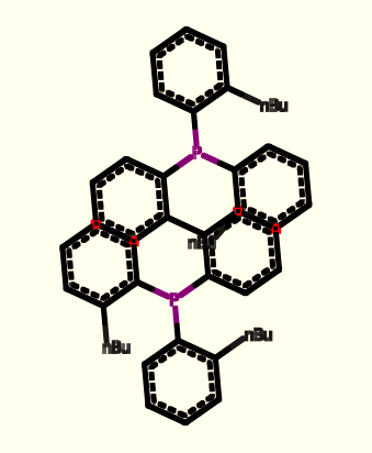 CCCCc1ccccc1P(c1ccccc1CCCC)c1ccccc1-c1ccccc1P(c1ccccc1CCCC)c1ccccc1CCCC